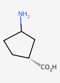 NC1CC[C@@H](C(=O)O)C1